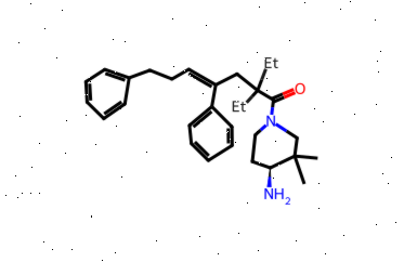 CCC(CC)(C/C(=C/CCc1ccccc1)c1ccccc1)C(=O)N1CC[C@H](N)C(C)(C)C1